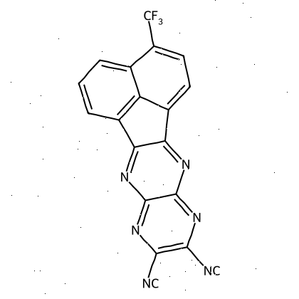 [C-]#[N+]c1nc2nc3c(nc2nc1[N+]#[C-])-c1ccc(C(F)(F)F)c2cccc-3c12